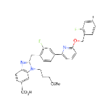 COCCCn1c(Cc2ccc(-c3cccc(OCc4ccc(C)cc4F)n3)cc2F)nc2ccc(C(=O)O)cc21